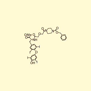 COC(=O)[C@H](Cc1cc(I)c(Oc2cc(I)c(O)c(I)c2)c(I)c1)NC(=O)COCC(=O)N1CCN(C(=O)OCc2ccccc2)CC1